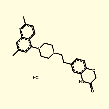 Cc1cc(N2CCN(CCc3ccc4c(c3)NC(=O)CO4)CC2)c2ccc(C)nc2c1.Cl